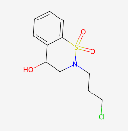 O=S1(=O)c2ccccc2C(O)CN1CCCCl